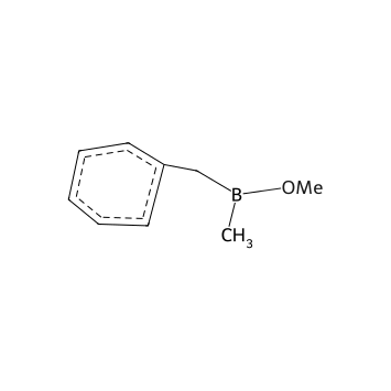 COB(C)Cc1ccccc1